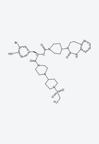 CCS(=O)(=O)N1CCC(N2CCN(C(=O)[C@@H](Cc3ccc(O)c(Br)c3)OC(=O)N3CCC(N4CCc5ccccc5NC4=O)CC3)CC2)CC1